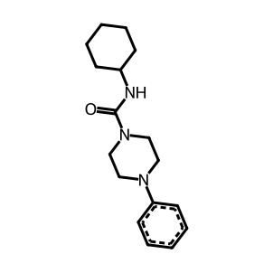 O=C(NC1CCCCC1)N1CCN(c2ccccc2)CC1